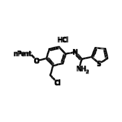 CCCCCOc1ccc(N=C(N)c2cccs2)cc1CCl.Cl